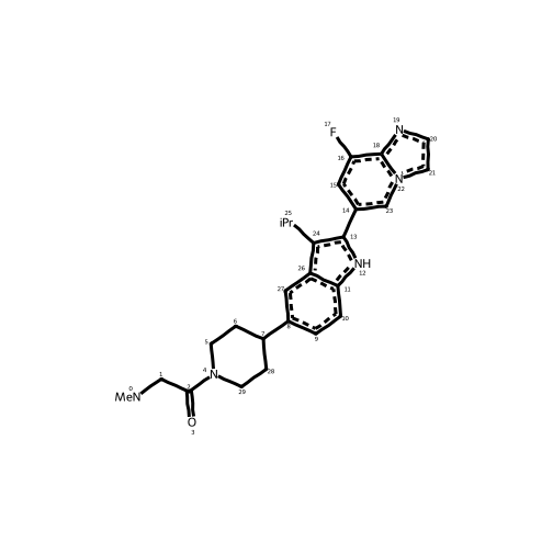 CNCC(=O)N1CCC(c2ccc3[nH]c(-c4cc(F)c5nccn5c4)c(C(C)C)c3c2)CC1